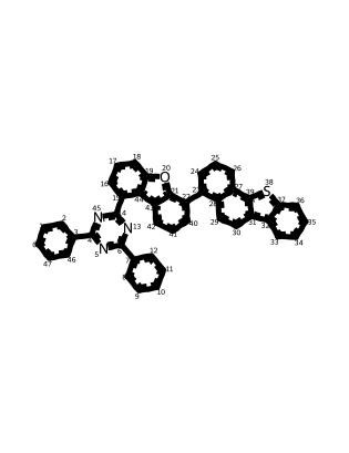 c1ccc(-c2nc(-c3ccccc3)nc(-c3cccc4oc5c(-c6cccc7c6ccc6c8ccccc8sc76)cccc5c34)n2)cc1